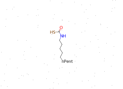 CCCCCCCCCCNC(=O)S